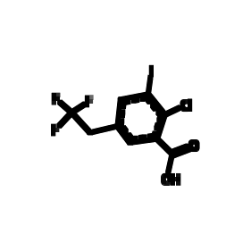 O=C(O)c1cc(CC(F)(F)F)cc(I)c1Cl